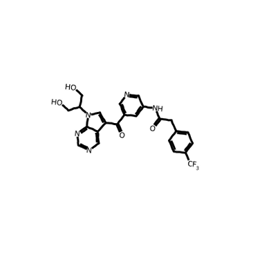 O=C(Cc1ccc(C(F)(F)F)cc1)Nc1cncc(C(=O)c2cn(C(CO)CO)c3ncncc23)c1